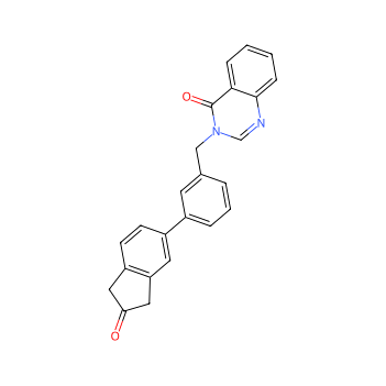 O=C1Cc2ccc(-c3cccc(Cn4cnc5ccccc5c4=O)c3)cc2C1